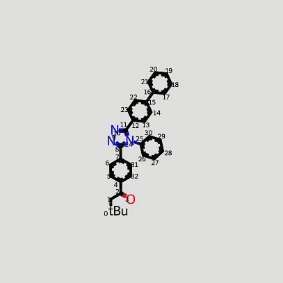 CC(C)(C)CC(=O)c1ccc(-c2nnc(-c3ccc(-c4ccccc4)cc3)n2-c2ccccc2)cc1